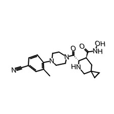 Cc1cc(C#N)ccc1N1CCN(C(=O)[C@H]2NCC3(CC3)C[C@@H]2C(=O)NO)CC1